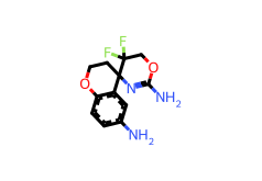 NC1=NC2(CCOc3ccc(N)cc32)C(F)(F)CO1